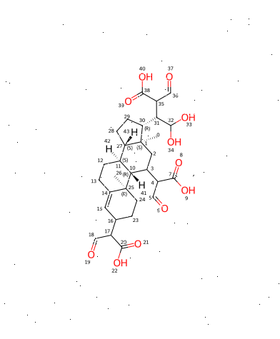 C[C@]12CC(C(C=O)C(=O)O)[C@H]3[C@@H](CCC4=CC(C(C=O)C(=O)O)CC[C@@]43C)[C@@H]1CC[C@@H]2C(C(O)O)C(C=O)C(=O)O